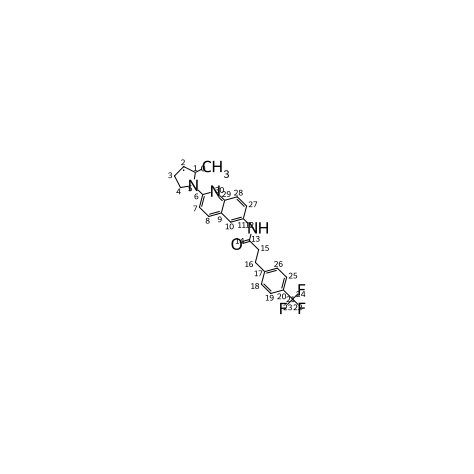 CC1[CH]CCN1c1ccc2cc(NC(=O)CCc3ccc(C(F)(F)F)cc3)ccc2n1